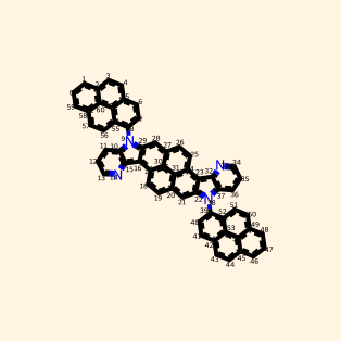 c1cc2ccc3ccc(-n4c5cccnc5c5c6ccc7cc8c(c9ccc(cc54)c6c79)c4ncccc4n8-c4ccc5ccc6cccc7ccc4c5c67)c4ccc(c1)c2c34